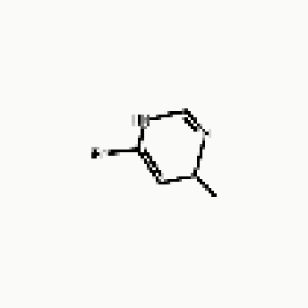 CC1C=C(C(C)C)NC=N1